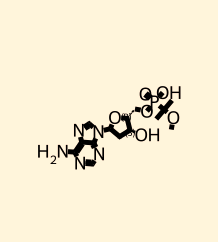 COC(C)(C)P(=O)(O)OC[C@H]1OC(n2cnc3c(N)ncnc32)C[C@@H]1O